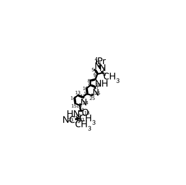 Cc1nn(C(C)C)cc1-c1cc2cc(-c3cccc(C(=O)NC(C)(C)C#N)n3)cnc2[nH]1